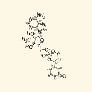 C[C@@]1(O)[C@H](O)[C@@H](CO[P@]2(=O)OCC[C@H](c3cccc(Cl)c3)O2)O[C@H]1n1cnc2c(N)ncnc21